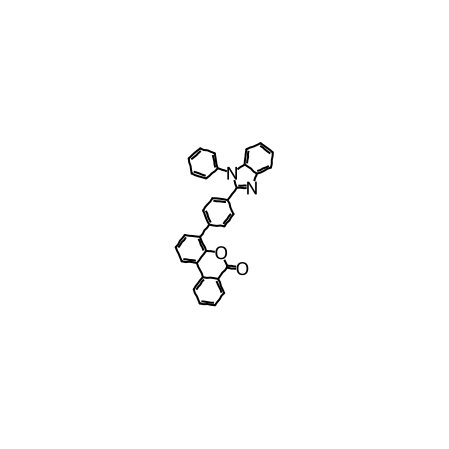 O=c1oc2c(-c3ccc(-c4nc5ccccc5n4-c4ccccc4)cc3)cccc2c2ccccc12